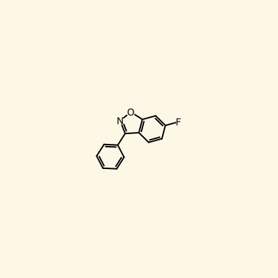 Fc1ccc2c(-c3ccccc3)noc2c1